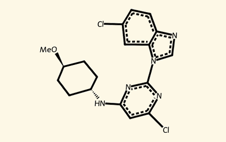 CO[C@H]1CC[C@H](Nc2cc(Cl)nc(-n3cnc4ccc(Cl)cc43)n2)CC1